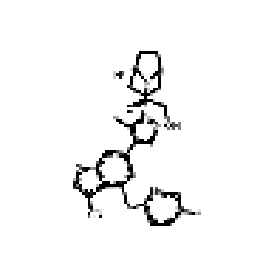 Cc1c(-c2cc(Sc3ccc(F)cn3)c3c(C#N)cnn3c2)cnn1[C@H]1CC2CC[C@H](C1)N2C(=O)CO